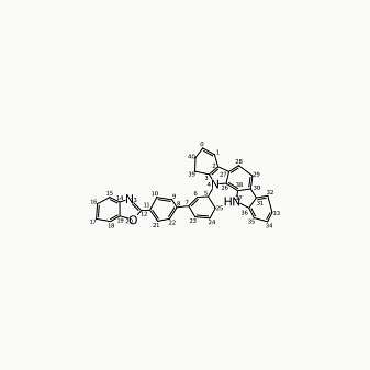 C1=Cc2c(n(C3C=C(c4ccc(-c5nc6ccccc6o5)cc4)C=CC3)c3c2ccc2c4ccccc4[nH]c23)CC1